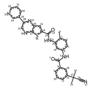 Cc1ccc(NC(=O)c2cccc(C(C)(C)C#N)c2)cc1NC(=O)c1cc2nc(-c3cccnc3)cnc2s1